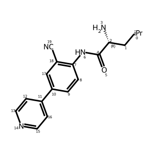 CC(C)C[C@@H](N)C(=O)Nc1ccc(-c2ccncc2)cc1C#N